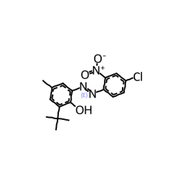 Cc1cc(/N=N/c2ccc(Cl)cc2[N+](=O)[O-])c(O)c(C(C)(C)C)c1